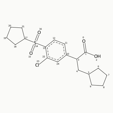 O=C(O)C(CC1CCCC1)c1ccc(S(=O)(=O)C2CCCC2)c(Cl)c1